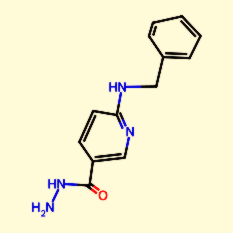 NNC(=O)c1ccc(NCc2ccccc2)nc1